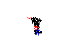 Cc1ccc2c(n1)CCN2C(=O)CC[C@@H](C)[C@H]1CC[C@H]2[C@@H]3CC[C@@H]4C[C@H](O)CC[C@]4(C)[C@H]3C[C@H](O)[C@]12C